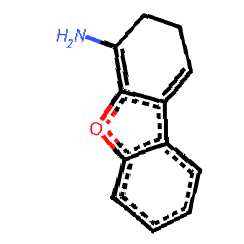 NC1=c2oc3ccccc3c2=CCC1